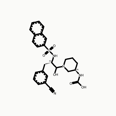 N#Cc1cccc(C[C@H](NS(=O)(=O)c2ccc3ccccc3c2)C(O)N2CCC[C@@H](NC(=O)O)C2)c1